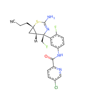 N#CCC[C@]12C[C@H]1[C@@](CF)(c1cc(NC(=O)c3ccc(Cl)cn3)ccc1F)N=C(N)S2